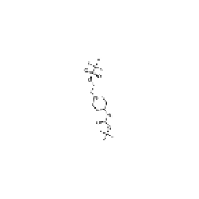 CC(C)(C)OC(=O)NC1CCN(CCOS(=O)(=O)C(F)(F)F)CC1